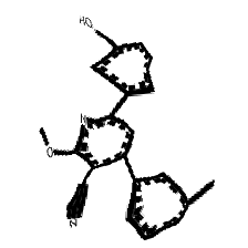 COc1nc(-c2cccc(O)c2)cc(-c2cccc(C)c2)c1C#N